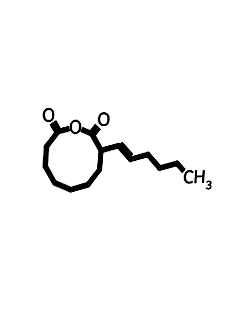 CCCCC=CC1CCCCCCC(=O)OC1=O